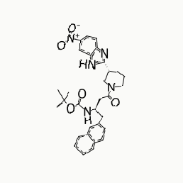 CC(C)(C)OC(=O)N[C@@H](CC(=O)N1CCC[C@@H](c2nc3ccc([N+](=O)[O-])cc3[nH]2)C1)Cc1ccc2ccccc2c1